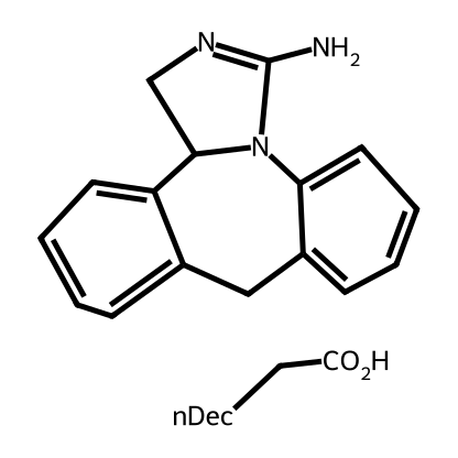 CCCCCCCCCCCC(=O)O.NC1=NCC2c3ccccc3Cc3ccccc3N12